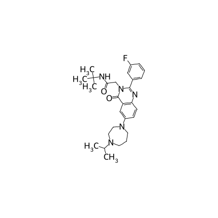 CC(C)N1CCCN(c2ccc3nc(-c4cccc(F)c4)n(CC(=O)NC(C)(C)C)c(=O)c3c2)CC1